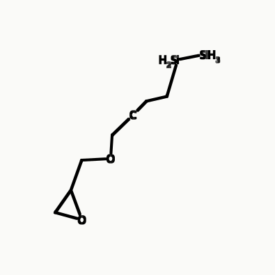 [SiH3][SiH2]CCCCOCC1CO1